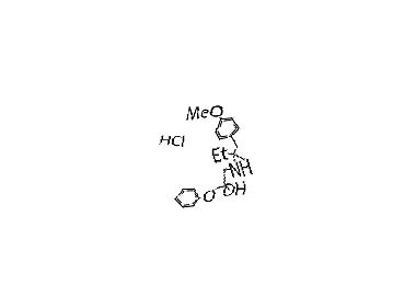 CCC(C)(Cc1ccc(OC)cc1)NCC(O)COc1ccccc1.Cl